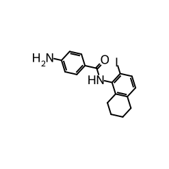 Nc1ccc(C(=O)Nc2c(I)ccc3c2CCCC3)cc1